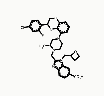 C[C@H]1CN(c2cccc3c2OC(c2ccc(Cl)cc2F)CO3)CCN1Cc1nc2ccc(C(=O)O)cc2n1C[C@@H]1CCO1